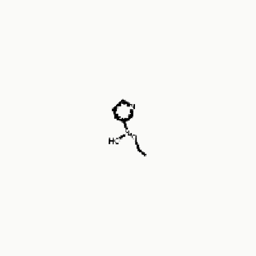 CCON(O)c1cccnc1